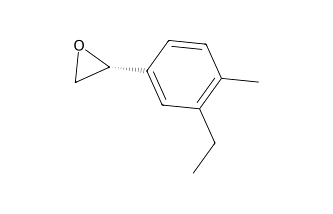 CCc1cc([C@@H]2CO2)ccc1C